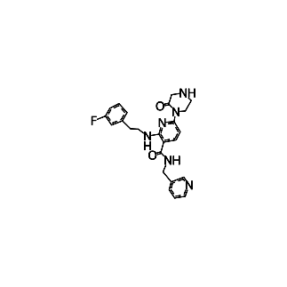 O=C(NCc1cccnc1)c1ccc(N2CCNCC2=O)nc1NCCc1cccc(F)c1